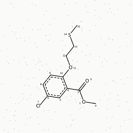 COC(=O)c1cc(Cl)ccc1OCCSC